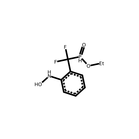 CCO[PH](=O)C(F)(F)c1ccccc1NO